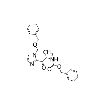 C[C@H](NC(=O)OCc1ccccc1)C(=O)c1nccn1COCc1ccccc1